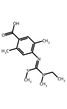 CCN(C)C(=Nc1cc(C)c(C(=O)O)cc1C)SC